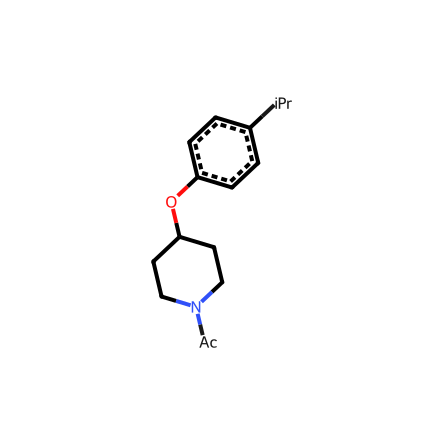 CC(=O)N1CCC(Oc2ccc(C(C)C)cc2)CC1